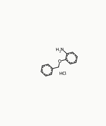 Cl.Nc1ccccc1OCc1ccccc1